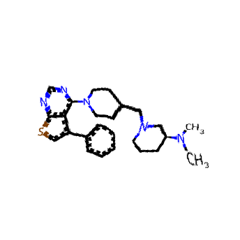 CN(C)[C@H]1CCCN(CC2CCN(c3ncnc4scc(-c5ccccc5)c34)CC2)C1